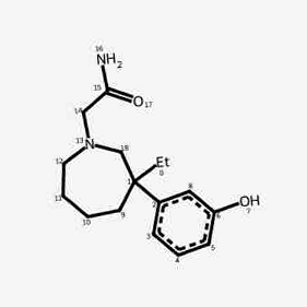 CCC1(c2cccc(O)c2)CCCCN(CC(N)=O)C1